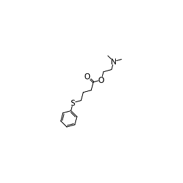 CN(C)CCOC(=O)CCCSc1ccccc1